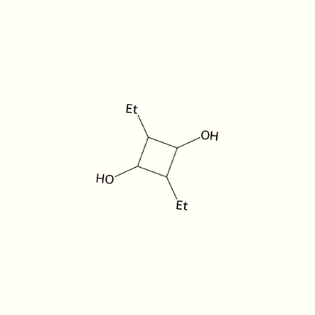 CCC1C(O)C(CC)C1O